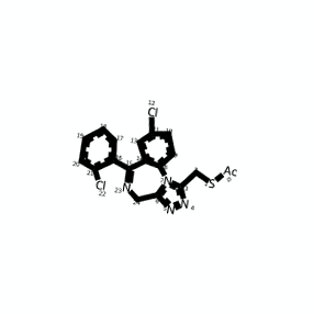 CC(=O)SCc1nnc2n1-c1ccc(Cl)cc1C(c1ccccc1Cl)=NC2